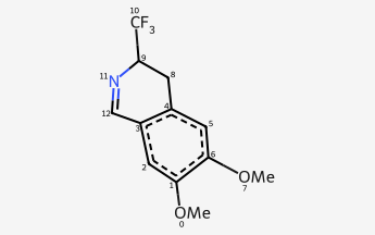 COc1cc2c(cc1OC)CC(C(F)(F)F)N=C2